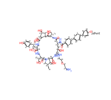 CCCCCOc1ccc(-c2ccc(-c3ccc(C(=O)N[C@H]4C[C@@H](O)C(NCCOCCN)NC(=O)C5[C@@H](O)[C@@H](C)CN5C(=O)C([C@@H](C)O)NC(=O)C([C@H](O)[C@@H](O)c5ccc(O)cc5)NC(=O)C5C[C@@H](O)CC5C(=O)C([C@@H](C)O)NC4=O)cc3)cc2)cc1